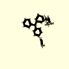 N=C=S.N=C=S.N=C=S.c1ccc(C(c2ccccc2)c2ccccc2)cc1